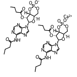 CCCC(=O)Nc1ncnc2c1ncn2[C@@H]1O[C@@H]2COP(=O)([O-])O[C@H]2[C@H]1OC(=O)CCC.CCCC(=O)Nc1ncnc2c1ncn2[C@@H]1O[C@@H]2COP(=O)([O-])O[C@H]2[C@H]1OC(=O)CCC.[Ca+2]